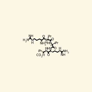 CC(C)[C@H](NC(=O)[C@H](CCCNC(=N)N)NC(=O)[C@@H](NC(=O)[C@@H](NC(=O)[C@@H](N)CCCNC(=N)N)C(C)C)C(C)C)C(=O)O